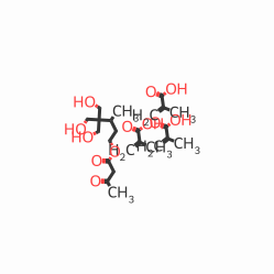 C=C(C)C(=O)O.C=C(C)C(=O)O.C=C(C)C(=O)O.CC(=O)CC(=O)OCCC(C)C(CO)(CO)CO